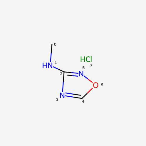 CNc1ncon1.Cl